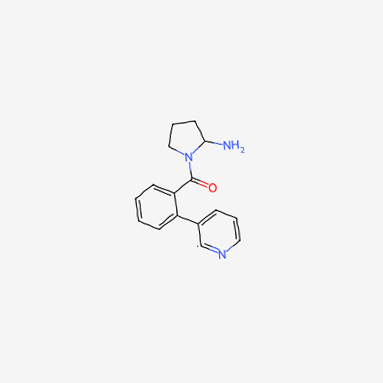 NC1CCCN1C(=O)c1ccccc1-c1[c]nccc1